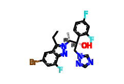 CCc1c2cc(Br)cc(F)c2nn1[C@H](C)[C@](O)(Cn1cncn1)c1ccc(F)cc1F